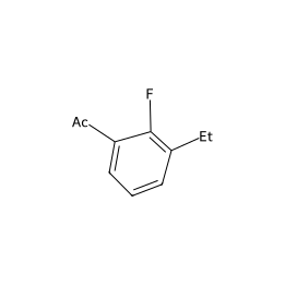 CCc1cccc(C(C)=O)c1F